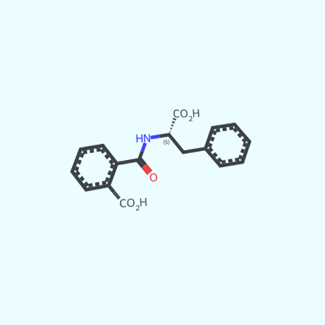 O=C(O)c1ccccc1C(=O)N[C@@H](Cc1ccccc1)C(=O)O